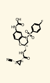 N#C[C@H]1C[C@H]1C(=O)NC[C@H]1CN(S(=O)(=O)c2ccc(F)cc2)c2cc(NC(=O)O)ccc2O1